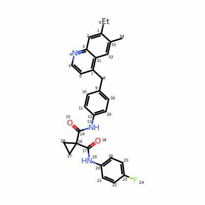 CCc1cc2nccc(Cc3ccc(NC(=O)C4(C(=O)Nc5ccc(F)cc5)CC4)cc3)c2cc1C